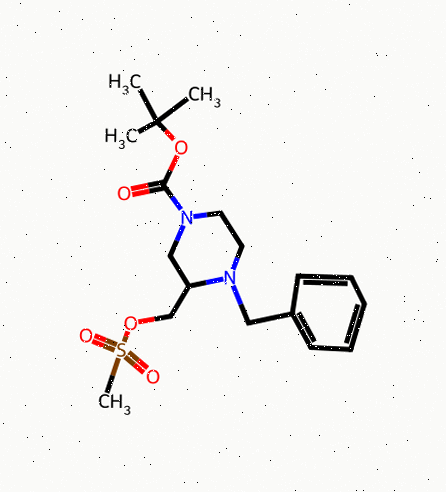 CC(C)(C)OC(=O)N1CCN(Cc2ccccc2)C(COS(C)(=O)=O)C1